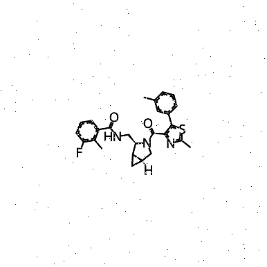 Cc1cccc(-c2sc(C)nc2C(=O)N2C[C@H]3CC3[C@H]2CNC(=O)c2cccc(F)c2C)c1